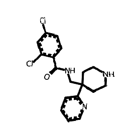 O=C(NCC1(c2ccccn2)CCNCC1)c1ccc(Cl)cc1Cl